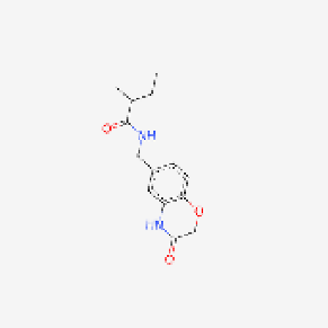 CCC(C)C(=O)NCc1ccc2c(c1)NC(=O)CO2